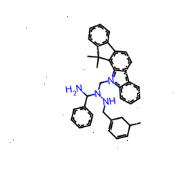 CC1C=CC=C(CNN(Cn2c3ccccc3c3ccc4c(c32)C(C)(C)c2ccccc2-4)C(N)c2ccccc2)C1